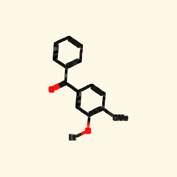 CCOc1cc(C(=O)c2ccccc2)ccc1OC